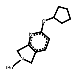 CC(C)(C)N1Cc2ccc(OC3CCCC3)nc2C1